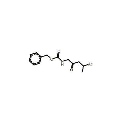 CC(=O)C(C)CC(=O)CNC(=O)OCc1ccccc1